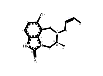 C/C=C\CN1Cc2c(Cl)ccc3[nH]c(=S)n(c23)C[C@@H]1C